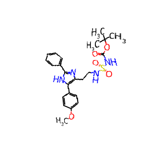 COc1ccc(-c2[nH]c(-c3ccccc3)nc2CCNS(=O)(=O)NC(=O)OC(C)(C)C)cc1